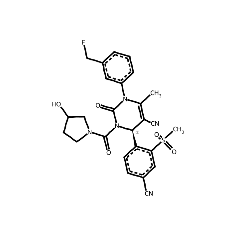 CC1=C(C#N)[C@@H](c2ccc(C#N)cc2S(C)(=O)=O)N(C(=O)N2CCC(O)C2)C(=O)N1c1cccc(CF)c1